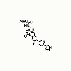 COC(=O)NC[C@@H]1OC(=O)N2c3cc(F)c(-c4ccc(-n5cnnn5)nc4)cc3C[C@@H]12